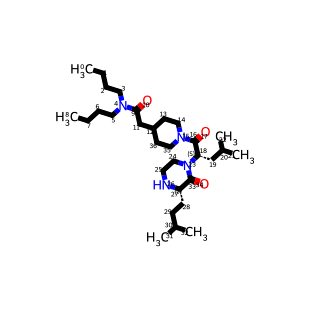 CCCCN(CCCC)C(=O)CC1CCN(C(=O)[C@H](CC(C)C)N2CCN[C@@H](CCC(C)C)C2=O)CC1